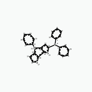 c1ccc(N(c2ccccc2)c2cc3c(s2)c2sccc2n3-c2ccccc2)cc1